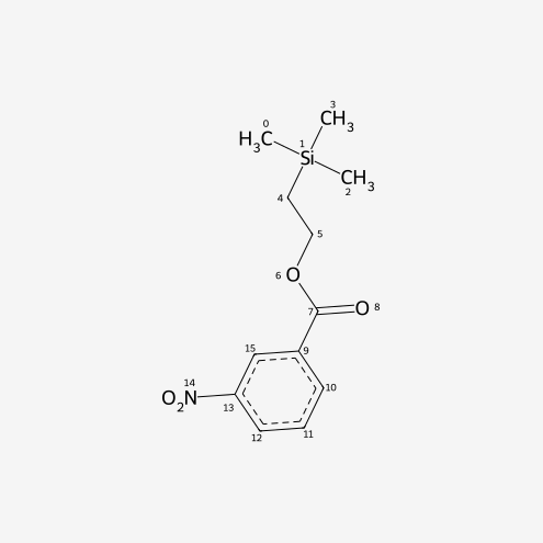 C[Si](C)(C)CCOC(=O)c1cccc([N+](=O)[O-])c1